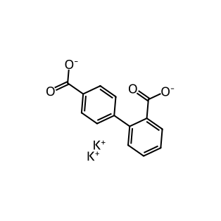 O=C([O-])c1ccc(-c2ccccc2C(=O)[O-])cc1.[K+].[K+]